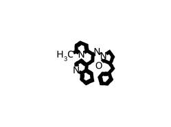 Cc1cccc(/C(Cc2ccnc3ccccc23)=N/N2CCC(Cc3ccccc3)C2=O)n1